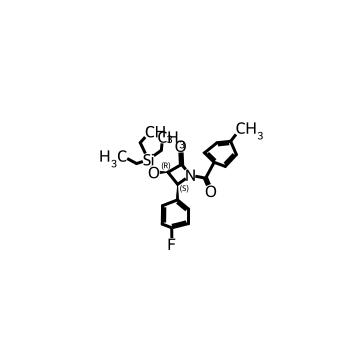 CC[Si](CC)(CC)O[C@H]1C(=O)N(C(=O)c2ccc(C)cc2)[C@H]1c1ccc(F)cc1